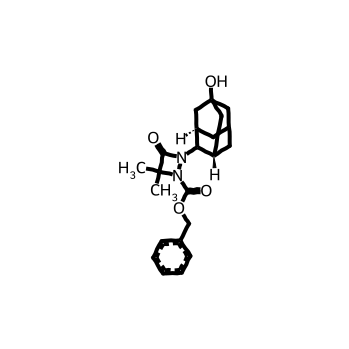 CC1(C)C(=O)N(C2[C@@H]3CC4C[C@H]2CC(O)(C4)C3)N1C(=O)OCc1ccccc1